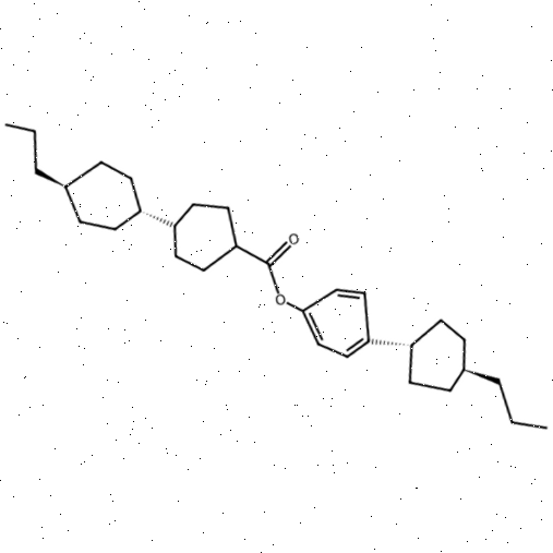 CCC[C@H]1CC[C@H](c2ccc(OC(=O)C3CCC([C@H]4CC[C@H](CCC)CC4)CC3)cc2)CC1